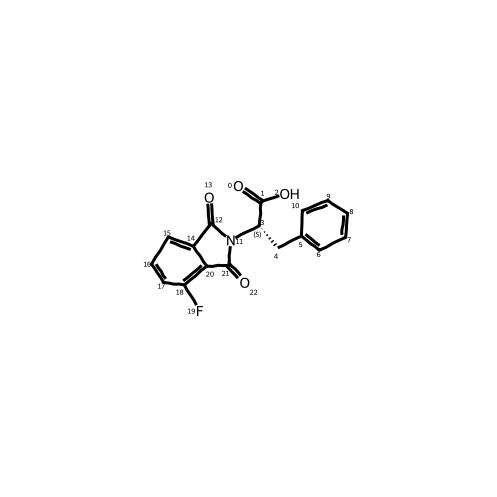 O=C(O)[C@H](Cc1ccccc1)N1C(=O)c2cccc(F)c2C1=O